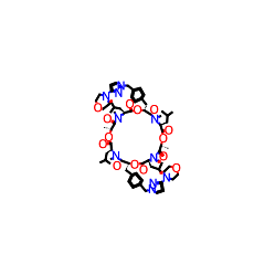 CC(C)C[C@H]1C(=O)O[C@H](Cc2ccc(Cn3ccc(N4CCOCC4)n3)cc2)C(=O)N(C)[C@@H](CC(C)C)C(=O)O[C@H](C)C(=O)N(C)[C@@H](CC(C)C)C(=O)O[C@H](Cc2ccc(Cn3ccc(N4CCOCC4)n3)cc2)C(=O)N(C)[C@@H](CC(C)C)C(=O)O[C@H](C)C(=O)N1C